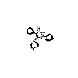 C[C@H](N[C@H](CN1CCOCC1)[C@H](O)C1=CCCC=C1)c1ccccc1